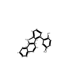 Fc1ccc(Cl)cc1-c1cccc2oc3c4ccccc4ccc3c12